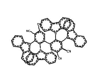 N#Cc1cc(-c2cc(C#N)c(C#N)c(-n3c4ccccc4c4ccccc43)c2-n2c3ccccc3c3ccccc32)c(-n2c3ccccc3c3ccccc32)c(-n2c3ccccc3c3ccccc32)c1C#N